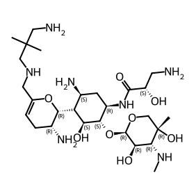 CN[C@@H]1[C@@H](O)[C@@H](O[C@H]2[C@H](NC(=O)[C@@H](O)CN)C[C@H](N)C([C@H]3OC(CNCC(C)(C)CN)=CC[C@H]3N)[C@@H]2O)OC[C@]1(C)O